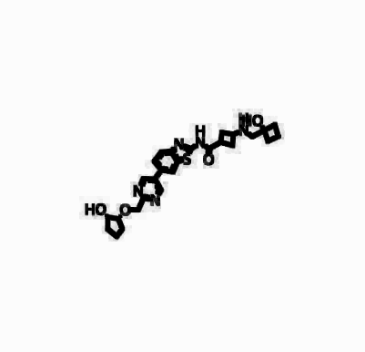 O=C(Nc1nc2ccc(-c3cnc(CO[C@H]4CCC[C@@H]4O)nc3)cc2s1)C1CC(NCC2(O)CCC2)C1